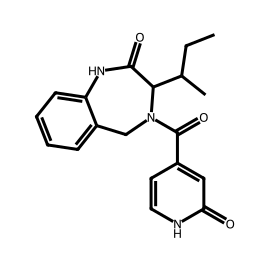 CCC(C)C1C(=O)Nc2ccccc2CN1C(=O)c1cc[nH]c(=O)c1